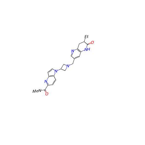 CCC1Cc2ncc(CN3CC(n4ccc5nc(C(=O)NC)ccc54)C3)cc2NC1=O